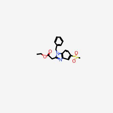 CCOC(=O)Cc1nc2cc(S(C)(=O)=O)ccc2n1Cc1ccccc1